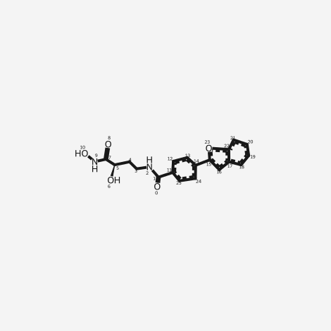 O=C(NCC[C@@H](O)C(=O)NO)c1ccc(-c2cc3ccccc3o2)cc1